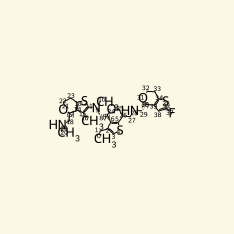 CCc1csc2c1[C@H](CN(C)c1sc3c(c1C)[C@@H](CNC)OCC3)OCC2CNC[C@@H]1OCCc2sc(F)cc21